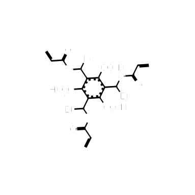 C=CC(=O)OC(CC)c1c(C(=O)O)c(C(CC)OC(=O)C=C)c(C(=O)O)c(C(CC)OC(=O)C=C)c1C(=O)O